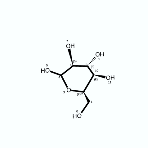 OC[C@H]1OC(O)[C@@H](O)[C@H](O)[C@H]1O